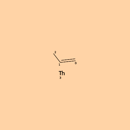 C=CC.[Th]